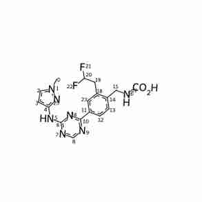 Cn1ccc(Nc2ncnc(-c3ccc(CNC(=O)O)c(CC(F)F)c3)n2)n1